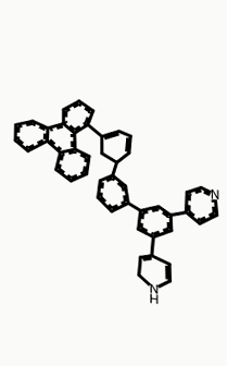 C1=CC(c2cccc(-c3cc(C4=CCNC=C4)cc(-c4ccncc4)c3)c2)CC(c2cccc3c4ccccc4c4ccccc4c23)=C1